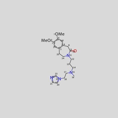 COc1cc2c(cc1OC)CC(=O)N(CCCN(C)CCn1ccnc1)CC2